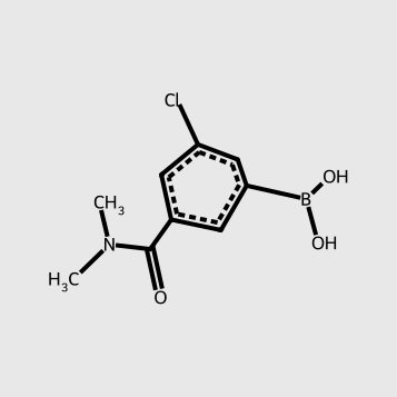 CN(C)C(=O)c1cc(Cl)cc(B(O)O)c1